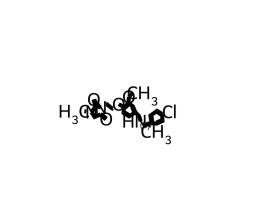 COc1cc(CN[C@@H](C)c2ccc(Cl)cc2)ccc1OCCN1C(=O)CN(C)C1=O